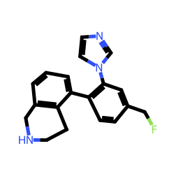 FCc1ccc(-c2cccc3c2CCNC3)c(-n2ccnc2)c1